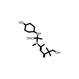 C=C(/C=C(\C)N(C)C(C)(C=O)NC1CCC(O)CC1)C(C)(C)CO